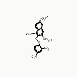 O=Cc1c(N=Nc2ccc([N+](=O)[O-])cc2[N+](=O)[O-])c(S(=O)(=O)O)cc2cc(S(=O)(=O)O)ccc12